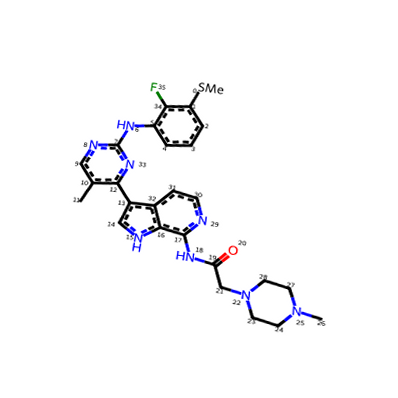 CSc1cccc(Nc2ncc(C)c(-c3c[nH]c4c(NC(=O)CN5CCN(C)CC5)nccc34)n2)c1F